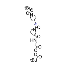 CC(C)(C)OC(=O)N1CCC(/C=C/C(=O)N2CCC[C@@H](C(=O)NCCC(=O)OCOC(=O)C(C)(C)C)C2)CC1